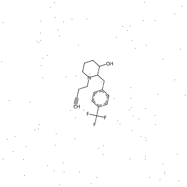 C#CCCN1CCCC(O)C1Cc1ccc(C(F)(F)F)cc1